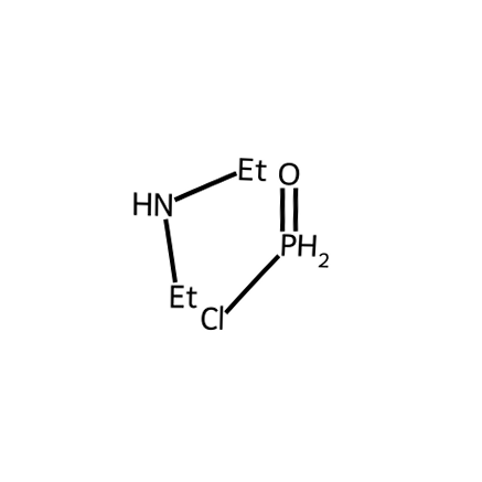 CCNCC.O=[PH2]Cl